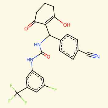 N#Cc1ccc(C(NC(=O)Nc2cc(F)cc(C(F)(F)F)c2)C2=C(O)CCCC2=O)cc1